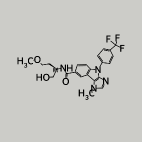 COCC[C@H](CO)NC(=O)c1ccc2c(c1)c1c(ncn1C)n2-c1ccc(C(F)(F)F)cc1